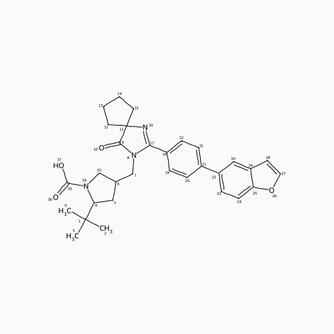 CC(C)(C)C1CC(CN2C(=O)C3(CCCC3)N=C2c2ccc(-c3ccc4occc4c3)cc2)CN1C(=O)O